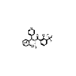 CN1CC2CCC1(C(NC(=O)c1cccc(C(F)(F)F)c1Cl)c1ccncc1)CC2